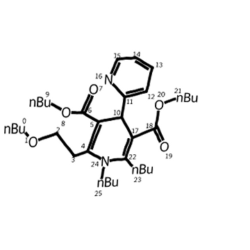 CCCCOCCC1=C(C(=O)OCCCC)C(c2ccccn2)C(C(=O)OCCCC)=C(CCCC)N1CCCC